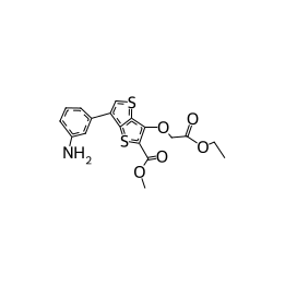 CCOC(=O)COc1c(C(=O)OC)sc2c(-c3cccc(N)c3)csc12